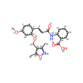 COc1ccc(C=CC(=O)Nc2ccccc2C(=O)O)c(OCc2c(C)noc2C)c1